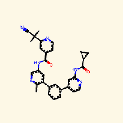 Cc1ncc(NC(=O)c2ccnc(C(C)(C)C#N)c2)cc1-c1cccc(-c2ccnc(NC(=O)C3CC3)c2)c1